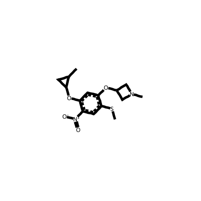 CSc1cc([N+](=O)[O-])c(OC2CC2C)cc1OC1CN(C)C1